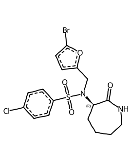 O=C1NCCCC[C@H]1N(Cc1ccc(Br)o1)S(=O)(=O)c1ccc(Cl)cc1